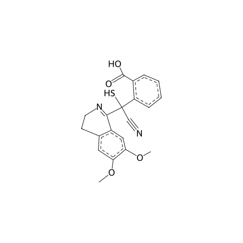 COc1cc2c(cc1OC)C(C(S)(C#N)c1ccccc1C(=O)O)=NCC2